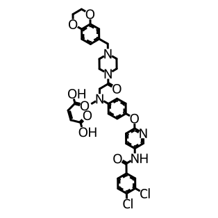 CN(CC(=O)N1CCN(Cc2ccc3c(c2)OCCO3)CC1)c1ccc(Oc2ccc(NC(=O)c3ccc(Cl)c(Cl)c3)cn2)cc1.O=C(O)/C=C\C(=O)O